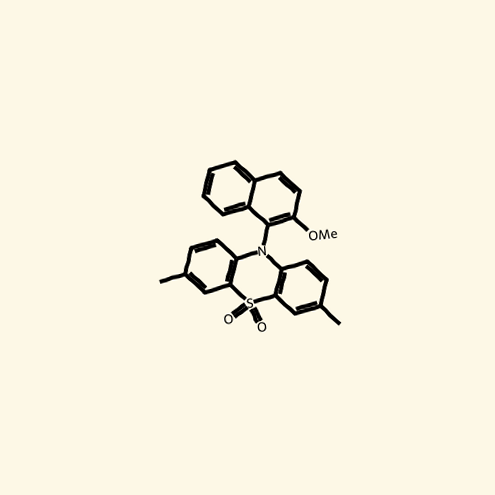 COc1ccc2ccccc2c1N1c2ccc(C)cc2S(=O)(=O)c2cc(C)ccc21